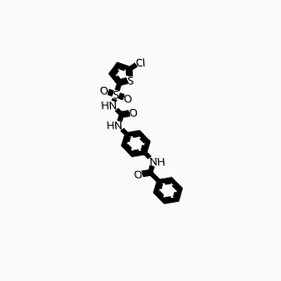 O=C(Nc1ccc(NC(=O)c2ccccc2)cc1)NS(=O)(=O)c1ccc(Cl)s1